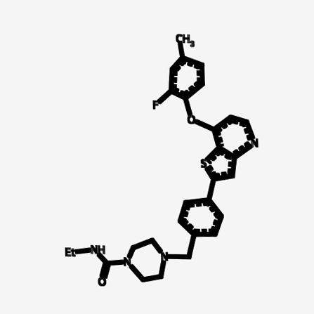 CCNC(=O)N1CCN(Cc2ccc(-c3cc4nccc(Oc5ccc(C)cc5F)c4s3)cc2)CC1